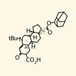 CC(C)(C)N1C[C@H]2[C@@H]3CC[C@H](C(=O)OC4C5CC6CC(C5)CC4C6)[C@@]3(C)CC[C@@H]2[C@@]2(C)CC(C(=O)O)C(=O)C=C12